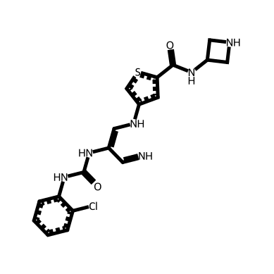 N=C/C(=C\Nc1csc(C(=O)NC2CNC2)c1)NC(=O)Nc1ccccc1Cl